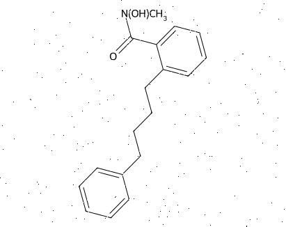 CN(O)C(=O)c1ccccc1CCCCc1ccccc1